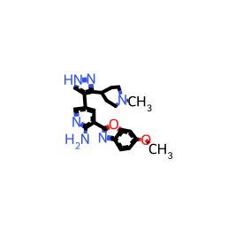 COc1ccc2nc(-c3cc(-c4c[nH]nc4C4CCN(C)CC4)cnc3N)oc2c1